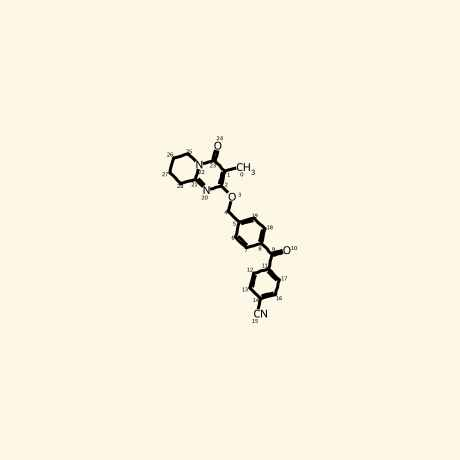 Cc1c(OCc2ccc(C(=O)c3ccc(C#N)cc3)cc2)nc2n(c1=O)CCCC2